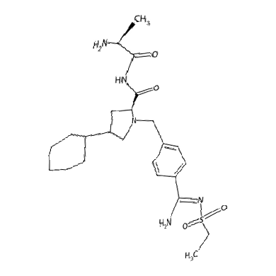 CCS(=O)(=O)N=C(N)c1ccc(CN2CC(C3CCCCC3)C[C@H]2C(=O)NC(=O)[C@H](C)N)cc1